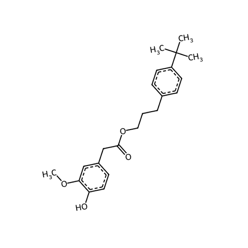 COc1cc(CC(=O)OCCCc2ccc(C(C)(C)C)cc2)ccc1O